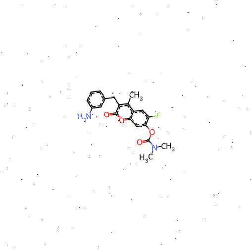 Cc1c(Cc2cccc(N)c2)c(=O)oc2cc(OC(=O)N(C)C)c(F)cc12